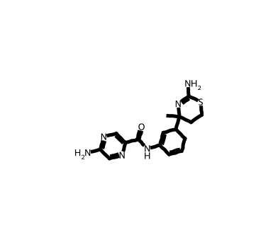 CC1(C2C=C(NC(=O)c3cnc(N)cn3)C=CC2)CCSC(N)=N1